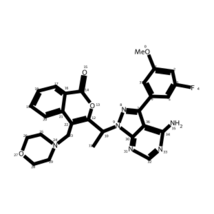 COc1cc(F)cc(-c2nn(C(C)c3oc(=O)c4ccccc4c3CN3CCOCC3)c3ncnc(N)c23)c1